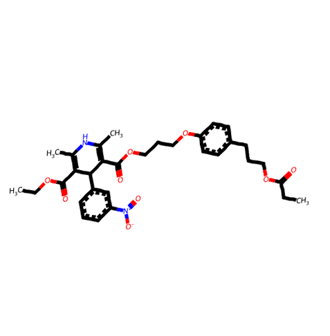 CCOC(=O)C1=C(C)NC(C)=C(C(=O)OCCCOc2ccc(CCCOC(=O)CC)cc2)C1c1cccc([N+](=O)[O-])c1